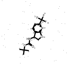 CC(C)(C)OC(=O)NC1COc2nc(C(F)(F)F)ccc21